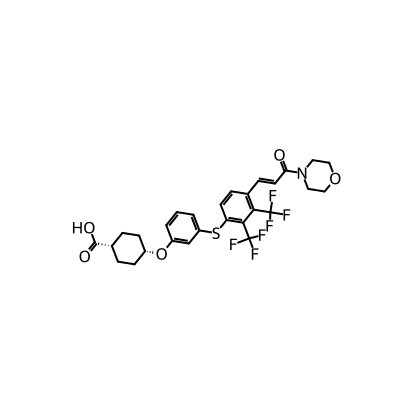 O=C(C=Cc1ccc(Sc2cccc(O[C@H]3CC[C@@H](C(=O)O)CC3)c2)c(C(F)(F)F)c1C(F)(F)F)N1CCOCC1